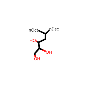 CCCCCCCCCCC(CCCCCCCC)CC(O)C(O)CO